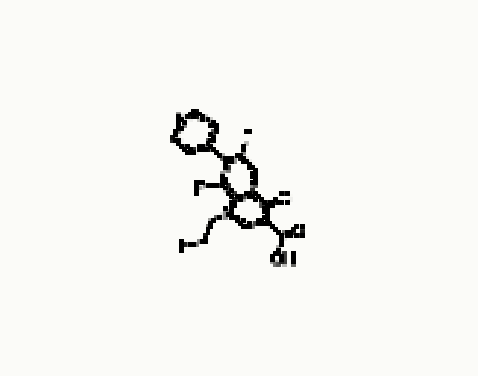 O=C(O)c1cn(CCF)c2c(F)c(-c3ccncc3)c(F)cc2c1=O